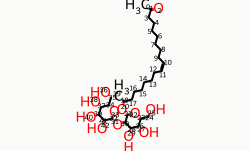 CC(=O)CCCCCCC/C=C\CCCCCCC(C)OC1OC(CO)C(O)C(O)C1OC1OC(CO)C(O)C(O)C1O